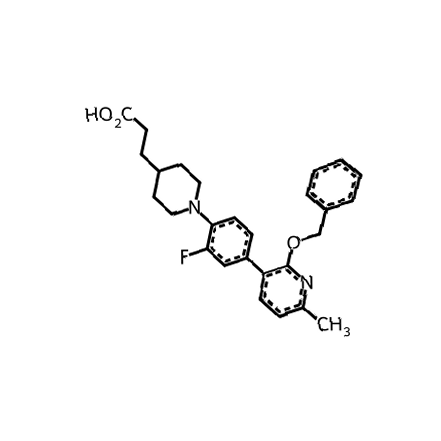 Cc1ccc(-c2ccc(N3CCC(CCC(=O)O)CC3)c(F)c2)c(OCc2ccccc2)n1